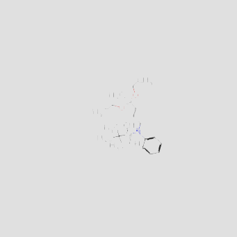 CCO[Si](C)(CCCN(c1ccccc1)[Si](C)(C)C(C)(C)C)OCC